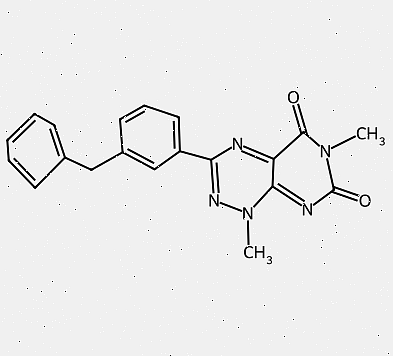 Cn1nc(-c2cccc(Cc3ccccc3)c2)nc2c(=O)n(C)c(=O)nc1-2